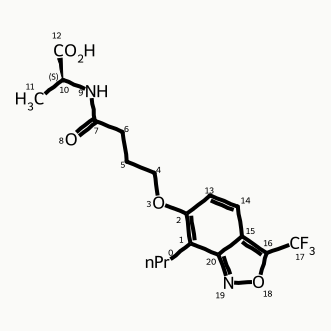 CCCc1c(OCCCC(=O)N[C@@H](C)C(=O)O)ccc2c(C(F)(F)F)onc12